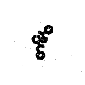 CC[N+]1(C(=O)C(=O)c2ccccc2)CCCCC1C(=S)Oc1ccccc1